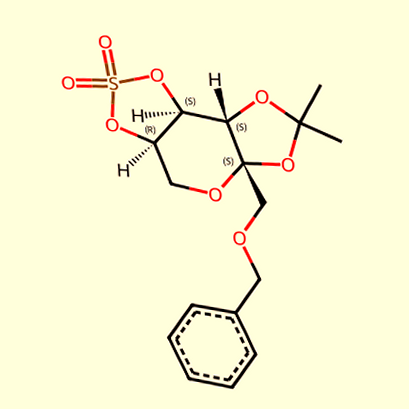 CC1(C)O[C@H]2[C@@H]3OS(=O)(=O)O[C@@H]3CO[C@@]2(COCc2ccccc2)O1